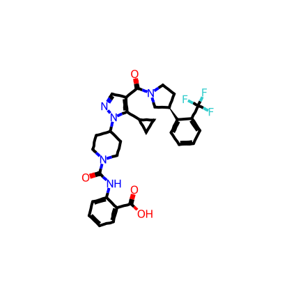 O=C(O)c1ccccc1NC(=O)N1CCC(n2ncc(C(=O)N3CC[C@@H](c4ccccc4C(F)(F)F)C3)c2C2CC2)CC1